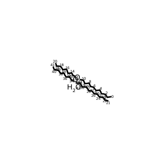 CCCCCCCCCCCCOCCCCCCCC.CCCCCCCCCCCCOCCCCCCCC.O